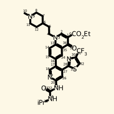 CCOC(=O)c1cn(CCC2CCN(C)CC2)c2ccc(-c3cnc(NC(=O)NC(C)C)cc3-c3nc(C(F)(F)F)cs3)cc2c1=O